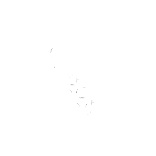 C=CC1CCC(C2CCC(c3ccc(-c4ccc(OCC)c(F)c4F)c(F)c3F)OC2)OC1